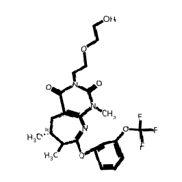 CC1C(Oc2cccc(OC(F)(F)F)c2)=Nc2c(c(=O)n(CCOCCO)c(=O)n2C)C[C@H]1C